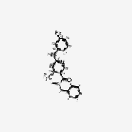 CN(Cc1ccccc1)C(=O)c1cnc(Nc2cccc(F)c2)nc1C(F)(F)F